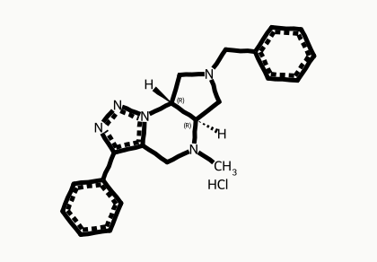 CN1Cc2c(-c3ccccc3)nnn2[C@@H]2CN(Cc3ccccc3)C[C@H]21.Cl